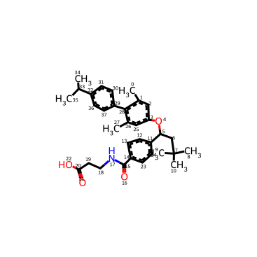 Cc1cc(OC(CC(C)(C)C)c2ccc(C(=O)NCCC(=O)O)cc2)cc(C)c1-c1ccc(C(C)C)cc1